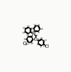 Clc1ccc(OC[P+](c2ccccc2)(c2ccccc2)c2ccccc2)cc1.[Cl-]